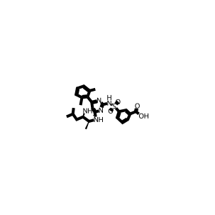 Cc1cccc(C)c1-c1cc(N[C@@H](C)[C@H](N)CC(C)C)nc(NS(=O)(=O)c2cccc(C(=O)O)c2)n1